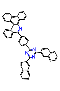 c1ccc2cc(-c3nc(-c4ccc(-c5nc6c7ccccc7c7ccccc7c6c6ccccc56)cc4)nc(-c4ccc5ccccc5c4)n3)ccc2c1